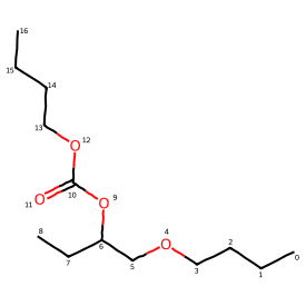 CCCCOCC(CC)OC(=O)OCCCC